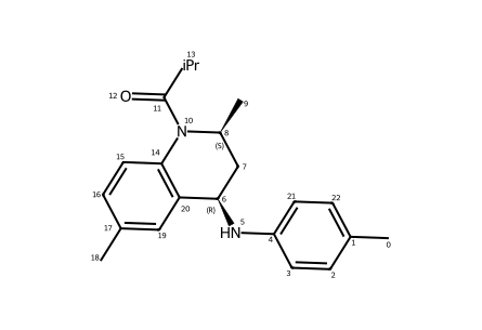 Cc1ccc(N[C@@H]2C[C@H](C)N(C(=O)C(C)C)c3ccc(C)cc32)cc1